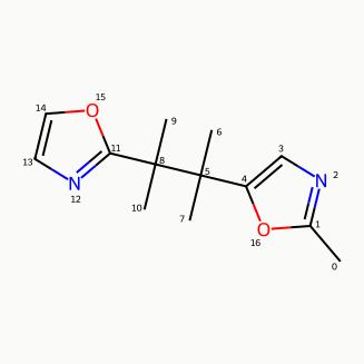 Cc1ncc(C(C)(C)C(C)(C)c2ncco2)o1